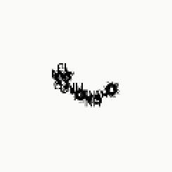 CC1(C)C[C@@H](C(=O)NCc2ccc(C(=N)NC(=O)OCc3ccccc3)cc2)n2c1c(Cl)ncc2=O